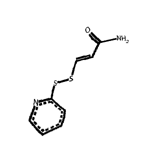 NC(=O)C=CSSc1ccccn1